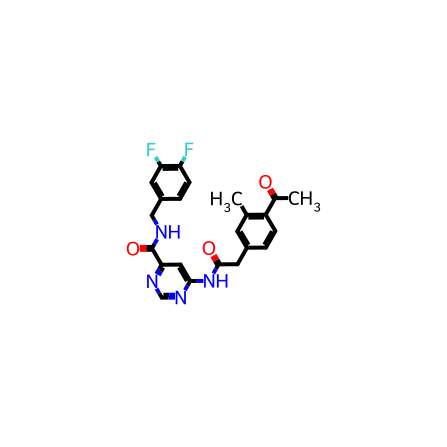 CC(=O)c1ccc(CC(=O)Nc2cc(C(=O)NCc3ccc(F)c(F)c3)ncn2)cc1C